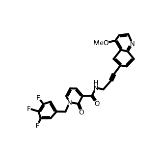 COc1ccnc2ccc(C#CCNC(=O)c3cccn(Cc4cc(F)c(F)c(F)c4)c3=O)cc12